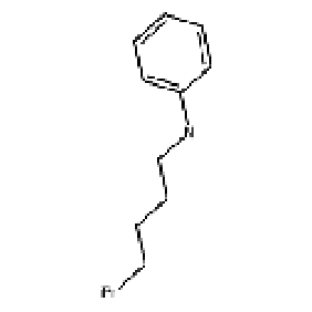 CC(C)CCCC[N]c1ccccc1